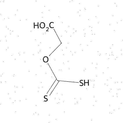 O=C(O)COC(=S)S